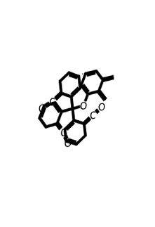 C=c1c[c]cc(OC(C2=CC=CCC2=C=O)(C2=CC=CCC2=C=O)C2=CC=CCC2=C=O)c1=C